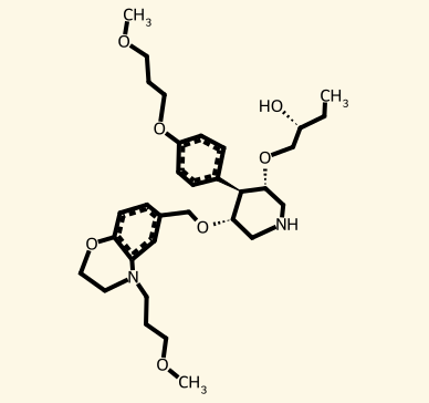 CC[C@@H](O)CO[C@@H]1CNC[C@H](OCc2ccc3c(c2)N(CCCOC)CCO3)[C@H]1c1ccc(OCCCOC)cc1